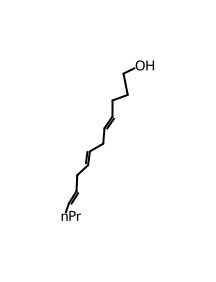 CCC/C=C/C/C=C/C/C=C/CCCO